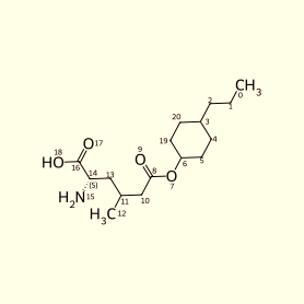 CCCC1CCC(OC(=O)CC(C)C[C@H](N)C(=O)O)CC1